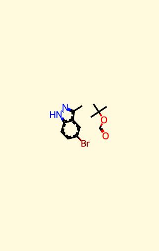 CC(C)(C)OC=O.Cc1n[nH]c2ccc(Br)cc12